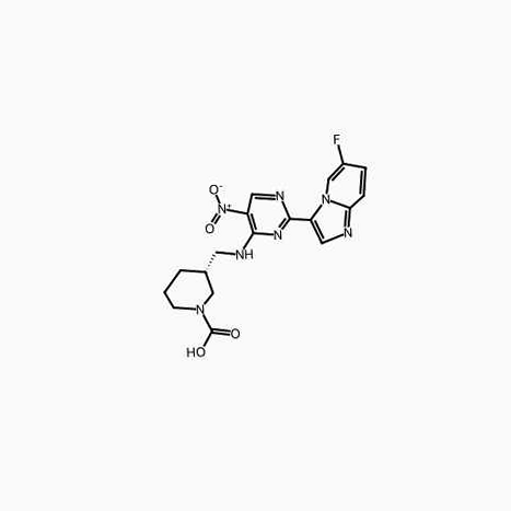 O=C(O)N1CCC[C@H](CNc2nc(-c3cnc4ccc(F)cn34)ncc2[N+](=O)[O-])C1